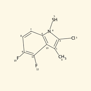 Cc1c(Cl)n(S)c2ccc(F)c(F)c12